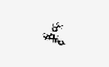 Cc1ccc(NC(=O)c2cc(Oc3ccc(C(=O)N(C)C)c(F)c3)c3c(c2)OC(C)(CO)C3)nc1